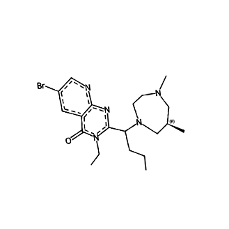 CCCC(c1nc2ncc(Br)cc2c(=O)n1CC)N1CCN(C)C[C@@H](C)C1